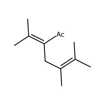 CC(=O)C(CC(C)=C(C)C)=C(C)C